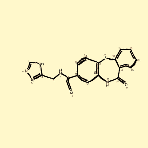 O=C(NCc1nnc[nH]1)c1ccc2c(c1)NC(=O)c1ccccc1S2